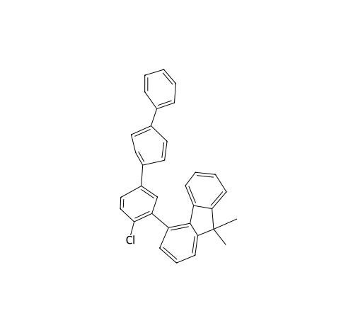 CC1(C)c2ccccc2-c2c(-c3cc(-c4ccc(-c5ccccc5)cc4)ccc3Cl)cccc21